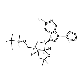 CC1(C)O[C@@H]2[C@@H](CO[Si](C)(C)C(C)(C)C)C[C@@H](n3cc(-c4cccs4)c4cnc(Cl)nc43)[C@@H]2O1